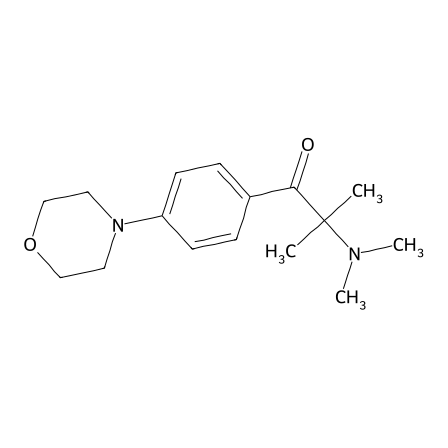 CN(C)C(C)(C)C(=O)c1ccc(N2CCOCC2)cc1